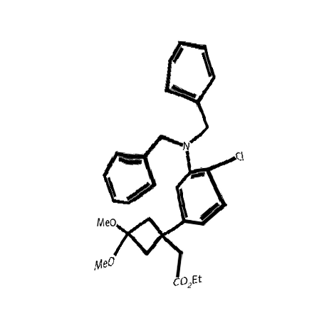 CCOC(=O)CC1(c2ccc(Cl)c(N(Cc3ccccc3)Cc3ccccc3)c2)CC(OC)(OC)C1